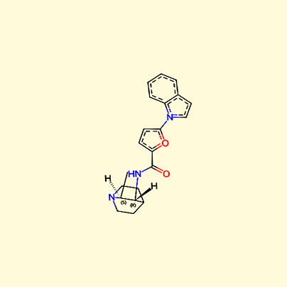 C[C@H]1[C@H](NC(=O)c2ccc(-n3ccc4ccccc43)o2)C2CCN1CC2